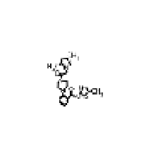 Cc1cc(C)n(CC(=O)N2CCN(c3ccccc3C(=O)Nc3ncc(C)s3)CC2)n1